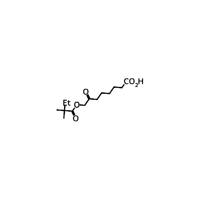 CCC(C)(C)C(=O)OCC(=O)CCCCCC(=O)O